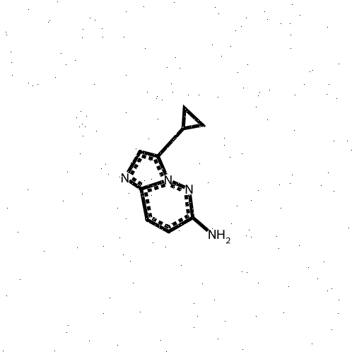 Nc1ccc2ncc(C3CC3)n2n1